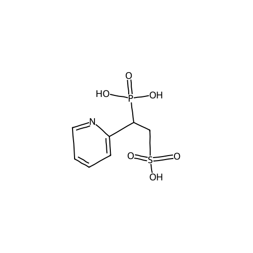 O=P(O)(O)C(CS(=O)(=O)O)c1ccccn1